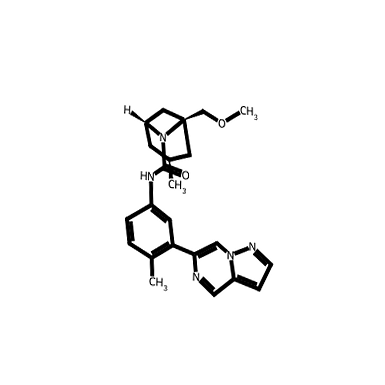 COC[C@]12C[C@@H](C)C[C@H](C1)N2C(=O)Nc1ccc(C)c(-c2cn3nccc3cn2)c1